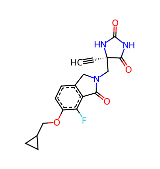 C#C[C@]1(CN2Cc3ccc(OCC4CC4)c(F)c3C2=O)NC(=O)NC1=O